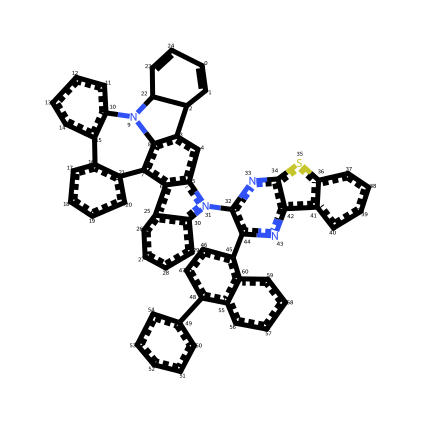 C1=CC2c3cc4c(c5c3N(c3ccccc3-c3ccccc3-5)C2C=C1)c1ccccc1n4-c1nc2sc3ccccc3c2nc1-c1ccc(-c2ccccc2)c2ccccc12